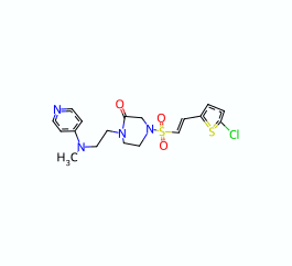 CN(CCN1CCN(S(=O)(=O)/C=C/c2ccc(Cl)s2)CC1=O)c1ccncc1